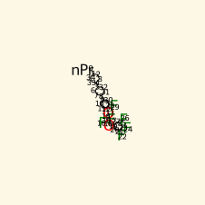 CCCC1CCC(C2CCC(c3ccc(OCC(F)(F)Oc4cc(F)c(F)c(F)c4)c(F)c3)CC2)CC1